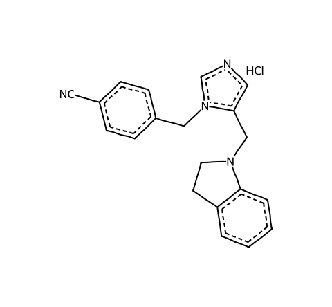 Cl.N#Cc1ccc(Cn2cncc2CN2CCc3ccccc32)cc1